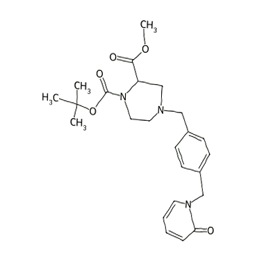 COC(=O)C1CN(Cc2ccc(Cn3ccccc3=O)cc2)CCN1C(=O)OC(C)(C)C